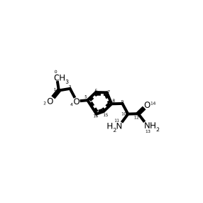 CC(=O)COc1ccc(CC(N)C(N)=O)cc1